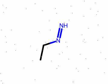 CCN=N